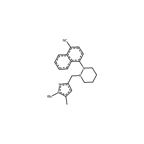 Cc1cc(CN2CCCCN2c2ccc(C#N)c3ccccc23)nn1C(C)(C)C